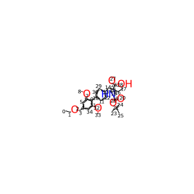 CCOCc1cc(OC)c(-c2ccc(C[C@](CC)(NC(=O)OC(C)(C)C)C(=O)O)cc2)c(OC)c1